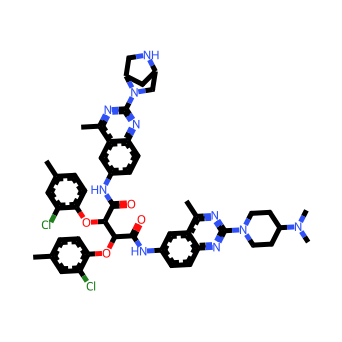 Cc1ccc(OC(C(=O)Nc2ccc3nc(N4CCC(N(C)C)CC4)nc(C)c3c2)C(Oc2ccc(C)cc2Cl)C(=O)Nc2ccc3nc(N4CC5CC4CN5)nc(C)c3c2)c(Cl)c1